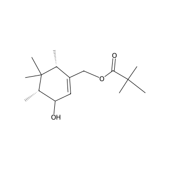 C[C@@H]1C(COC(=O)C(C)(C)C)=CC(O)[C@H](C)C1(C)C